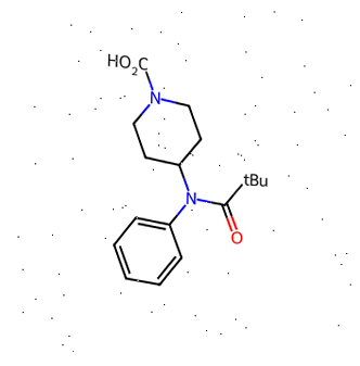 CC(C)(C)C(=O)N(c1ccccc1)C1CCN(C(=O)O)CC1